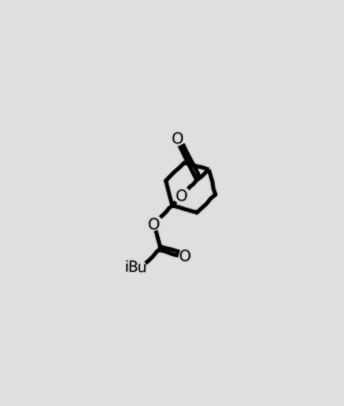 CCC(C)C(=O)OC12CCC(CC1)C(=O)O2